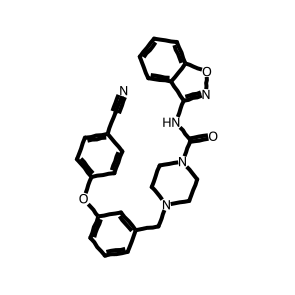 N#Cc1ccc(Oc2cccc(CN3CCN(C(=O)Nc4noc5ccccc45)CC3)c2)cc1